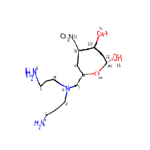 NCCN(CCN)CC1CC([N+](=O)[O-])C(O)[C@H](O)O1